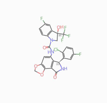 O=C1N[C@H](c2cc(F)ccc2Cl)c2c(NC(=O)N3C[C@@](O)(C(F)(F)F)c4cc(F)ccc43)cc3c(c21)OCO3